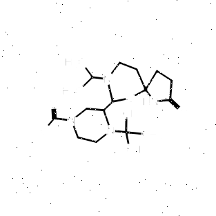 CC(=O)N1CCN(C(C)(C)C)C(C2CC3(CCC(=O)N3)CCN2C(C)C)C1